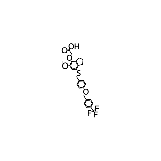 COc1cc(SCc2ccc(OCc3ccc(C(F)(F)F)cc3)cc2)c2c(c1OCC(=O)O)CCC2